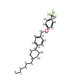 CCCCCCC1CCC(c2ccc(COc3ccc(C(F)(F)F)cc3)cc2)CC1